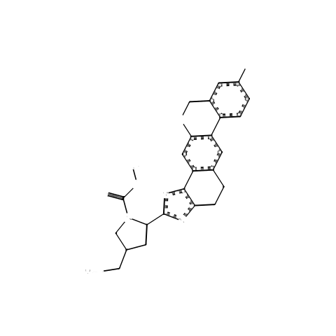 COCC1CC(c2nc3c([nH]2)-c2cc4c(cc2CC3)-c2ccc(Cl)cc2CO4)N(C(=O)OC(C)(C)C)C1